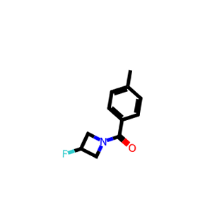 Cc1ccc(C(=O)N2CC(F)C2)cc1